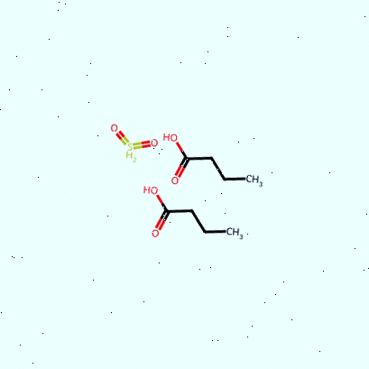 CCCC(=O)O.CCCC(=O)O.O=[SH2]=O